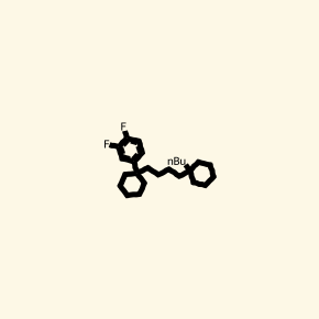 CCCCC1(CCCCC2(c3ccc(F)c(F)c3)CCCCC2)CCCCC1